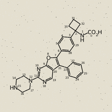 O=C(O)NC1(c2ccc(-c3oc4nc(N5CCNCC5)ncc4c3-c3ccccc3)cc2)CCC1